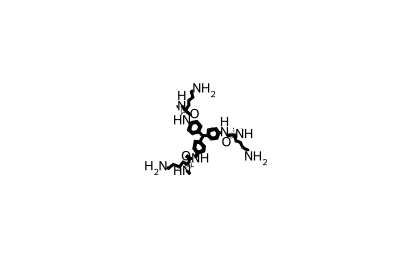 CN[C@@](C)(CCCCN)C(=O)Nc1ccc(C(c2ccc(NC(=O)[C@](C)(CCCCN)NC)cc2)c2ccc(NC(=O)[C@](C)(CCCCN)NC)cc2)cc1